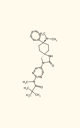 CN(C(=O)C(C)(C)C)c1ncc(N2C[C@]3(CC[C@](c4ccccc4)(N(C)C)CC3)NC2=O)cn1